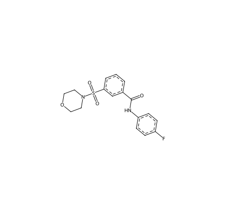 O=C(Nc1ccc(F)cc1)c1cccc(S(=O)(=O)N2CCOCC2)c1